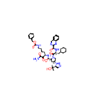 CC(C)(O)c1cnnn1[C@H]1C[C@@H](C(=O)NC(CCCCNC(=O)OCc2ccccc2)C(=O)C(N)=O)N(C(=O)[C@@H](CC2CCCCC2)NC(=O)c2ncc3ccccc3n2)C1